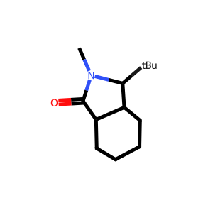 CN1C(=O)C2CCCCC2C1C(C)(C)C